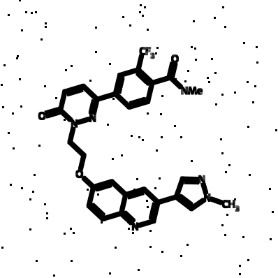 CNC(=O)c1ccc(-c2ccc(=O)n(CCOc3ccc4ncc(-c5cnn(C)c5)cc4c3)n2)cc1C(F)(F)F